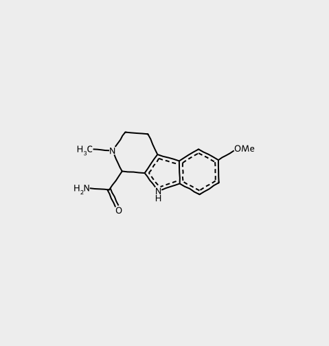 COc1ccc2[nH]c3c(c2c1)CCN(C)C3C(N)=O